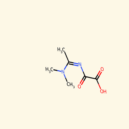 CC(=NC(=O)C(=O)O)N(C)C